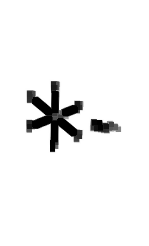 [F][Ti-2]([F])([F])([F])([F])[F].[Mn+2]